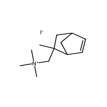 CC1(C[N+](C)(C)C)CC2C=CC1C2.[I-]